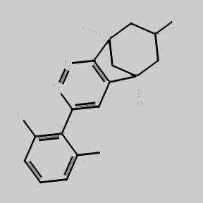 CC1C[C@@H]2C[C@](C)(C1)c1nnc(-c3c(F)cccc3F)cc12